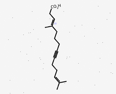 CC(C)=CCCC#CCCC/C(C)=C/CC(=O)O